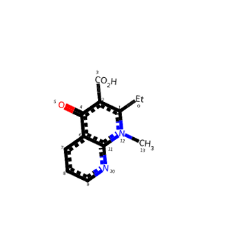 CCc1c(C(=O)O)c(=O)c2cccnc2n1C